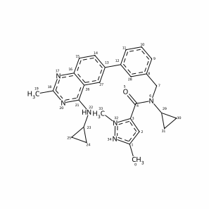 Cc1cc(C(=O)N(Cc2cccc(-c3ccc4nc(C)nc(NC5CC5)c4c3)c2)C2CC2)n(C)n1